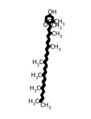 CC(C)=CCC/C(C)=C/C=C/C(C)=C/C=C/C(C)=C/C=C/C=C(C)/C=C/C=C(C)/C=C/C12OC1(C)CC(O)CC2(C)C